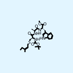 CCC(C)=CCSC[C@H](NC(=O)OC(C)(C)C)C(=O)N[C@@H](C)C(=O)N[C@@H](Cc1c[nH]c2ccccc12)C(=O)OC